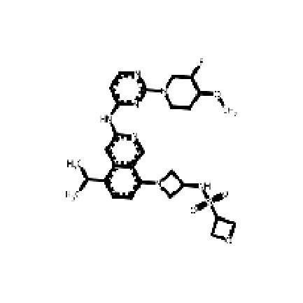 COC1CCN(c2nccc(Nc3cc4c(C(C)C)ccc(N5CC(NS(=O)(=O)C6COC6)C5)c4cn3)n2)CC1F